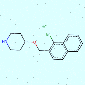 Brc1c(COC2CCNCC2)ccc2ccccc12.Cl